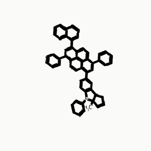 CC12CCCC1c1cc(-c3cc(-c4ccccc4)c4ccc5c(-c6cccc7ccccc67)cc(-c6ccccc6)c6ccc3c4c65)ccc1N2c1ccccc1